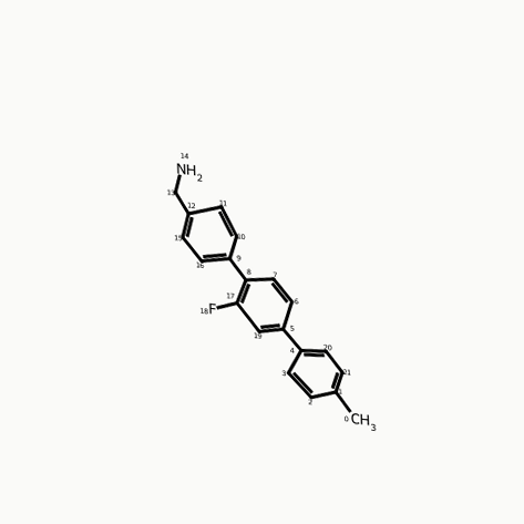 Cc1ccc(-c2ccc(-c3ccc(CN)cc3)c(F)c2)cc1